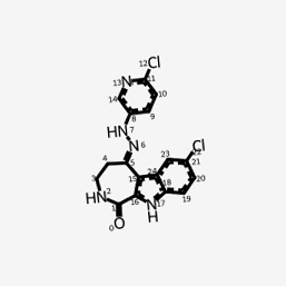 O=C1NCCC(=NNc2ccc(Cl)nc2)c2c1[nH]c1ccc(Cl)cc21